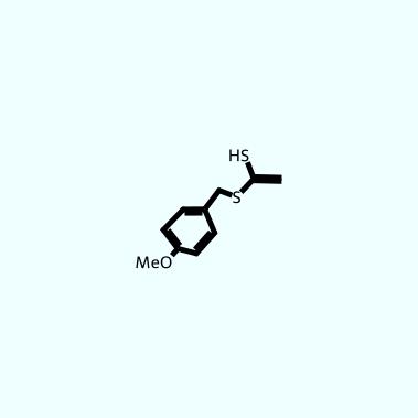 C=C(S)SCc1ccc(OC)cc1